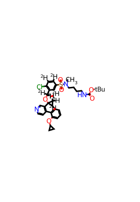 [2H]c1c([2H])c(S(=O)(=O)N(C)CCCCNC(=O)OC(C)(C)C)c([2H])c(C([2H])([2H])OC2(c3cnccc3-c3ccccc3OC3CC3)C([2H])C2([2H])[2H])c1Cl